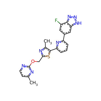 Cc1ccnc(OCc2nc(C)c(-c3cccc(-c4cc(F)c5nn[nH]c5c4)n3)s2)n1